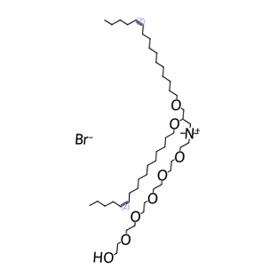 CCCC/C=C\CCCCCCCCCCOCC(C[N+](C)(C)CCOCCOCCOCCOCCOCCO)OCCCCCCCCCC/C=C\CCCC.[Br-]